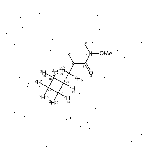 [2H]C([2H])(C(C)C(=O)N(C)OC)C1([2H])C([2H])([2H])C([2H])([2H])C1([2H])[2H]